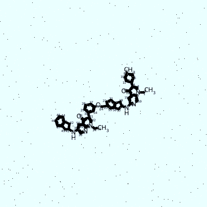 CCn1cc(-c2ccc(C)cc2)c(=O)c2cc(NC3Cc4ccc(COc5cccc(-c6cn(CC)c7ncc(NC8Cc9ccccc9C8)cc7c6=O)c5)cc4C3)ncc21